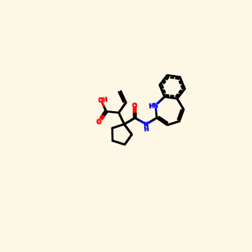 C=CC(C(=O)O)C1(C(=O)NC2=CC=Cc3ccccc3N2)CCCC1